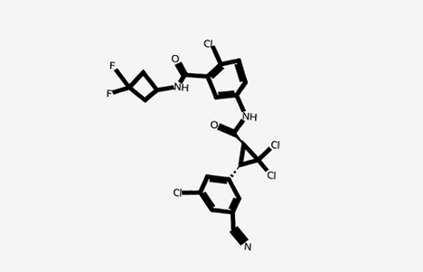 N#Cc1cc(Cl)cc([C@@H]2[C@@H](C(=O)Nc3ccc(Cl)c(C(=O)NC4CC(F)(F)C4)c3)C2(Cl)Cl)c1